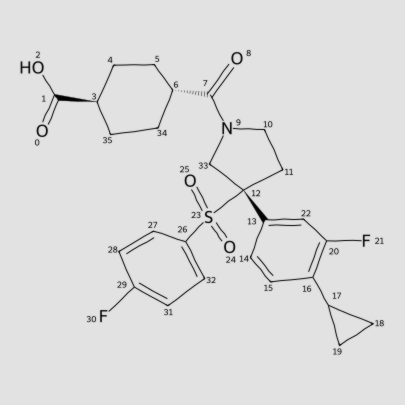 O=C(O)[C@H]1CC[C@H](C(=O)N2CC[C@](c3ccc(C4CC4)c(F)c3)(S(=O)(=O)c3ccc(F)cc3)C2)CC1